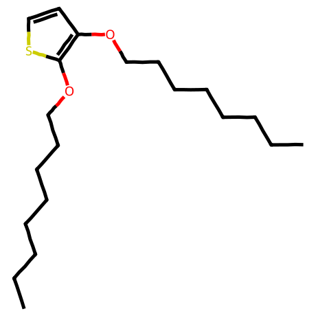 CCCCCCCCOc1ccsc1OCCCCCCCC